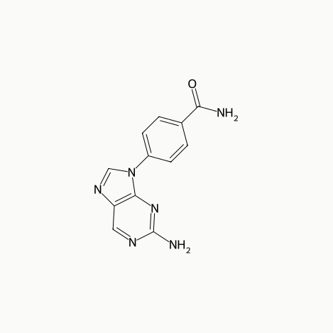 NC(=O)c1ccc(-n2cnc3cnc(N)nc32)cc1